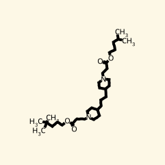 CC(C)CCCOC(=O)CCN1CCC(CCCC2CCN(CCC(=O)OCCCC(C)(C)C)CC2)CC1